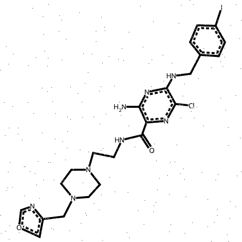 Nc1nc(NCc2ccc(I)cc2)c(Cl)nc1C(=O)NCCN1CCN(Cc2cocn2)CC1